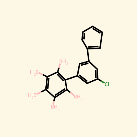 Bc1c(B)c(B)c(-c2cc(Cl)cc(-c3ccccc3)c2)c(B)c1B